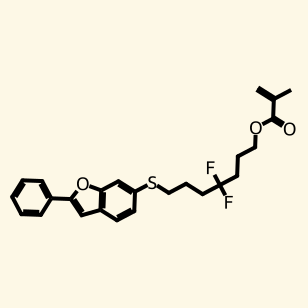 C=C(C)C(=O)OCCCC(F)(F)CCCSc1ccc2cc(-c3ccccc3)oc2c1